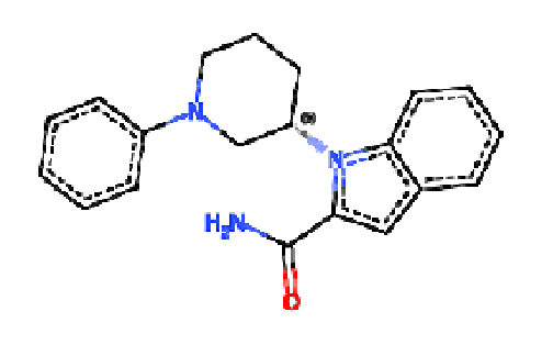 NC(=O)c1cc2ccccc2n1[C@H]1CCCN(c2ccccc2)C1